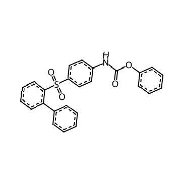 O=C(Nc1ccc(S(=O)(=O)c2ccccc2-c2ccccc2)cc1)Oc1ccccc1